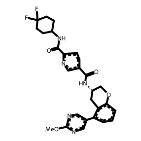 COc1ncc(-c2cccc3c2C[C@H](NC(=O)c2ccc(C(=O)NC4CCC(F)(F)CC4)nc2)CO3)cn1